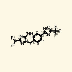 Nc1nc(C(F)F)nn1Cc1ccc(-c2noc(C(F)(F)F)n2)cc1